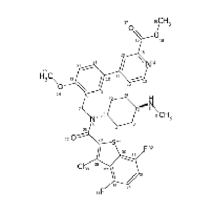 CN[C@H]1CC[C@H](N(Cc2cc(-c3ccnc(C(=O)OC)c3)ccc2OC)C(=O)c2sc3c(F)ccc(F)c3c2Cl)CC1